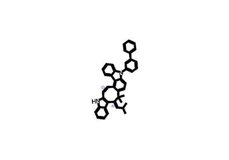 CC(C)/C=C1/c2c([nH]c3ccccc23)/C=C\c2c(ccc3c2c2ccccc2n3-c2cccc(-c3ccccc3)c2)C1(C)C